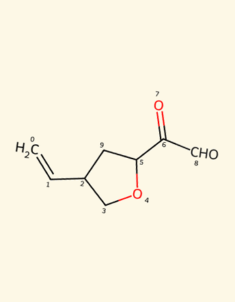 C=CC1COC(C(=O)C=O)C1